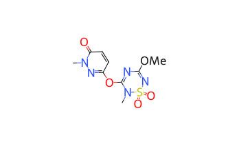 COC1=NS(=O)(=O)N(C)C(Oc2ccc(=O)n(C)n2)=N1